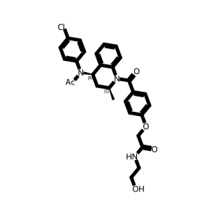 CC(=O)N(c1ccc(Cl)cc1)[C@@H]1C[C@H](C)N(C(=O)c2ccc(OCC(=O)NCCO)cc2)c2ccccc21